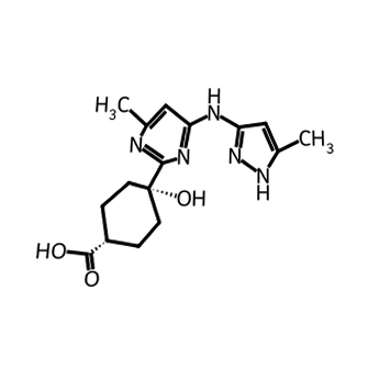 Cc1cc(Nc2cc(C)[nH]n2)nc([C@]2(O)CC[C@@H](C(=O)O)CC2)n1